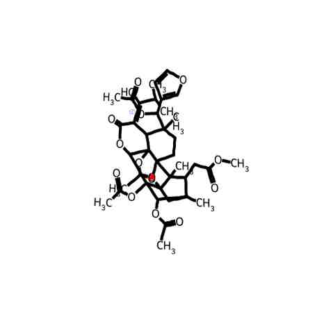 COC(=O)CC1C2(C)CC34OC5(C)OC67C(/C(=C(/O)C(C)C)C(=O)OC6C3(OC(C)=O)C2OC(C)=O)C(C)(C(OC(C)=O)c2ccoc2)CCC7(O5)C14C